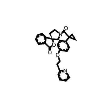 O=C1O[C@]2(CCN(C(=O)C3(c4ccc(OCCc5ccccn5)cc4)CC3)C2)c2ccccc21